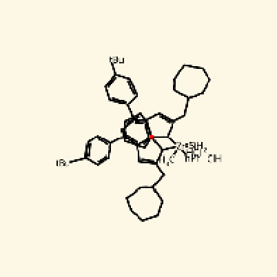 CC[CH2][Zr]([CH3])(=[SiH2])([CH]1C(CC2CCCCCC2)=Cc2c(-c3ccc(C(C)(C)C)cc3)cccc21)[CH]1C(CC2CCCCCC2)=Cc2c(-c3ccc(C(C)(C)C)cc3)cccc21.Cl.Cl